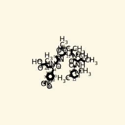 CC[C@H](C)[C@H](NC(=O)[C@H]1C[C@H](C)CCN1C)C(=O)N(C)[C@H](C[C@@H](OC(C)=O)c1nc(C(=O)N[C@@H](Cc2ccc([N+](=O)[O-])cc2)C[C@H](C)C(=O)O)cs1)C(C)C